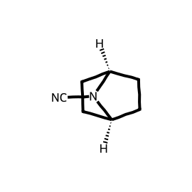 N#CN1[C@H]2CC[C@@H]1CC2